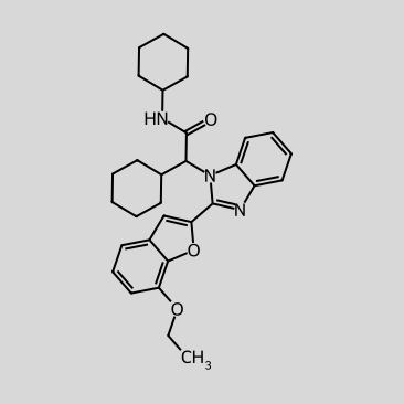 CCOc1cccc2cc(-c3nc4ccccc4n3C(C(=O)NC3CCCCC3)C3CCCCC3)oc12